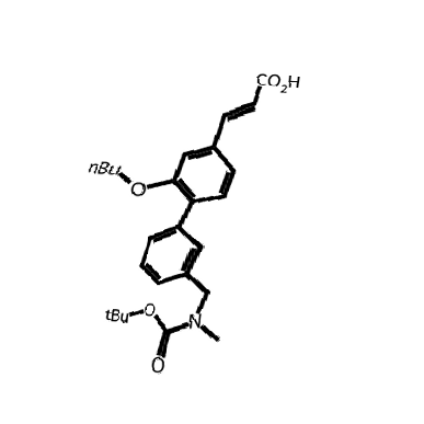 CCCCOc1cc(C=CC(=O)O)ccc1-c1cccc(CN(C)C(=O)OC(C)(C)C)c1